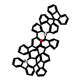 c1ccc(-c2cccc(-c3ccccc3N(c3cccc4c3-c3ccccc3C43c4ccccc4-c4ccccc43)c3ccc(-c4ccc5c(c4)C4(c6ccccc6-5)c5ccccc5-n5c6ccccc6c6cccc4c65)c4ccccc34)c2)cc1